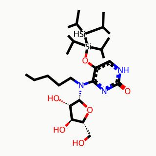 CCCCCN(c1nc(=O)[nH]cc1O[Si](C(C)C)(C(C)C)[SiH](C(C)C)C(C)C)[C@@H]1O[C@H](CO)[C@@H](O)[C@@H]1O